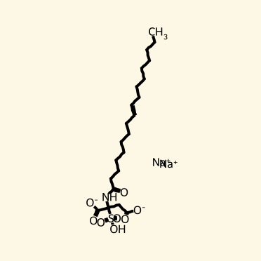 CCCCCCCCC=CCCCCCCCC(=O)NC(CC(=O)[O-])(C(=O)[O-])S(=O)(=O)O.[Na+].[Na+]